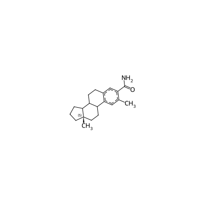 Cc1cc2c(cc1C(N)=O)CCC1C2CC[C@]2(C)CCCC12